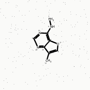 Cc1coc2c(NP)ncnc12